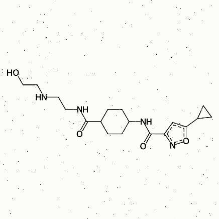 O=C(NC1CCC(C(=O)NCCNCCO)CC1)c1cc(C2CC2)on1